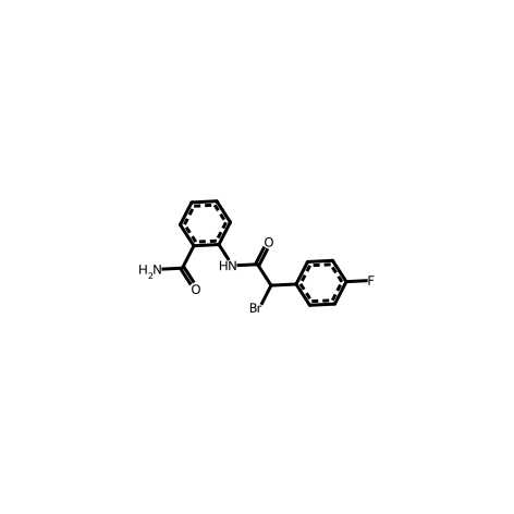 NC(=O)c1ccccc1NC(=O)C(Br)c1ccc(F)cc1